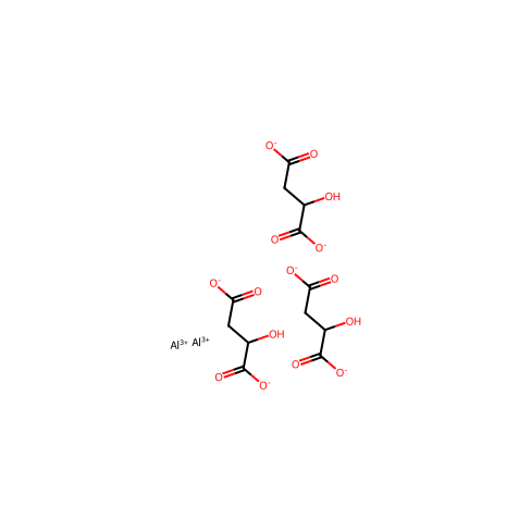 O=C([O-])CC(O)C(=O)[O-].O=C([O-])CC(O)C(=O)[O-].O=C([O-])CC(O)C(=O)[O-].[Al+3].[Al+3]